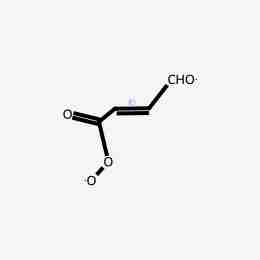 [O]OC(=O)/C=C/[C]=O